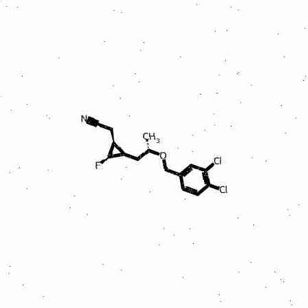 C[C@@H](CC1[C@@H](F)[C@H]1CC#N)OCc1ccc(Cl)c(Cl)c1